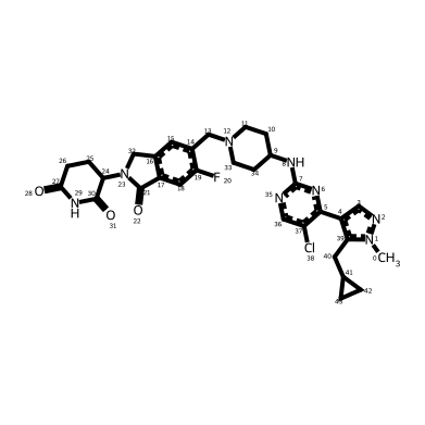 Cn1ncc(-c2nc(NC3CCN(Cc4cc5c(cc4F)C(=O)N(C4CCC(=O)NC4=O)C5)CC3)ncc2Cl)c1CC1CC1